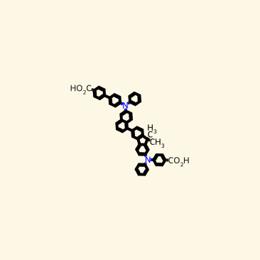 CC1(C)c2ccc(-c3cccc4cc(N(c5ccccc5)c5ccc(-c6ccc(C(=O)O)cc6)cc5)ccc34)cc2-c2ccc(N(c3ccccc3)c3ccc(C(=O)O)cc3)cc21